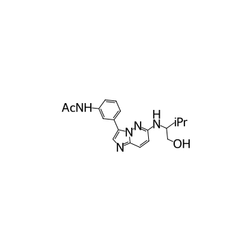 CC(=O)Nc1cccc(-c2cnc3ccc(NC(CO)C(C)C)nn23)c1